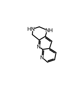 c1cnc2nc3c(cc2c1)NCNC3